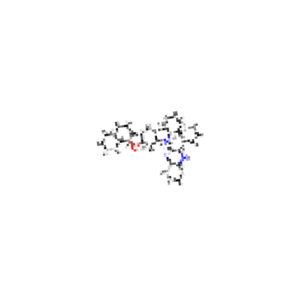 c1ccc(-c2nc3ccccc3nc2-n2c3ccccc3c3cc4c(cc32)oc2c3ccccc3ccc42)cc1